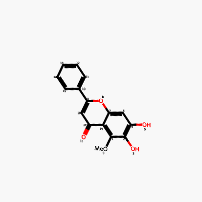 COc1c(O)c(O)cc2oc(-c3ccccc3)cc(=O)c12